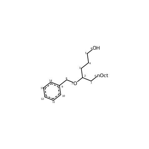 CCCCCCCCCC(CCCO)OCc1ccccc1